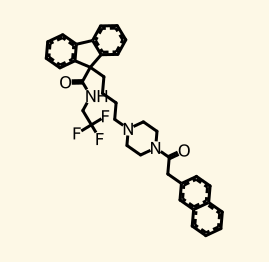 O=C(Cc1ccc2ccccc2c1)N1CCN(CCCCC2(C(=O)NCC(F)(F)F)c3ccccc3-c3ccccc32)CC1